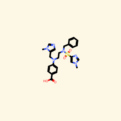 Cn1cnc(S(=O)(=O)N(CCN(Cc2cncn2C)c2ccc(C(=O)O)cc2)Cc2ccccc2)c1